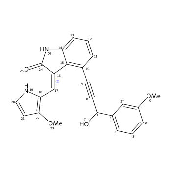 COc1cccc(C(O)C#Cc2cccc3c2/C(=C/c2[nH]ccc2OC)C(=O)N3)c1